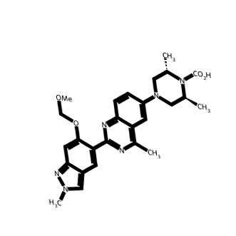 COCOc1cc2nn(C)cc2cc1-c1nc(C)c2cc(N3C[C@H](C)N(C(=O)O)[C@@H](C)C3)ccc2n1